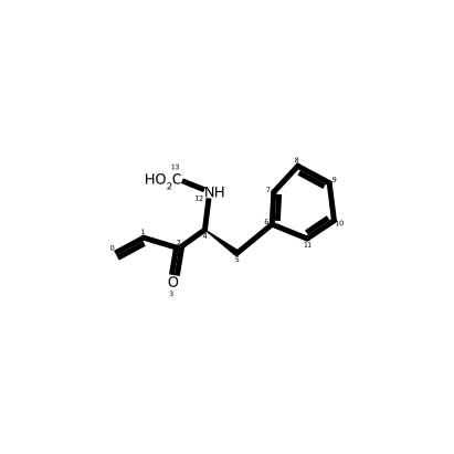 C=CC(=O)[C@H](Cc1ccccc1)NC(=O)O